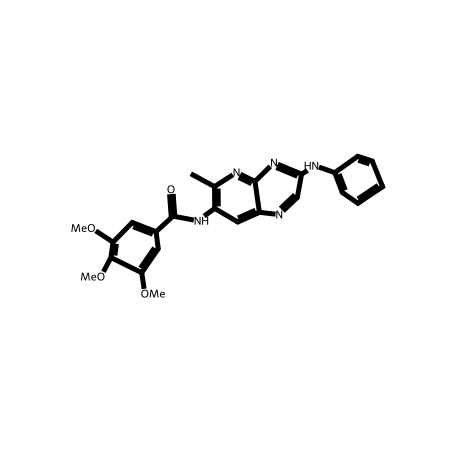 COc1cc(C(=O)Nc2cc3ncc(Nc4ccccc4)nc3nc2C)cc(OC)c1OC